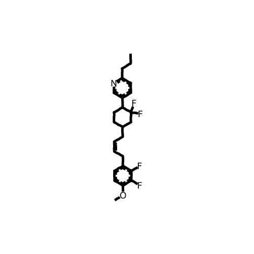 CCCc1ccc(C2CCC(C/C=C\Cc3ccc(OC)c(F)c3F)CC2(F)F)cn1